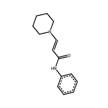 O=C(/C=C/N1CCCCC1)Nc1ccccc1